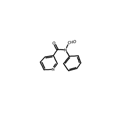 O=CN(C(=O)c1cccnc1)c1ccccc1